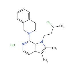 Cc1c(C)n(CCC(C)Cl)c2c(N3CCc4ccccc4C3)nccc12.Cl